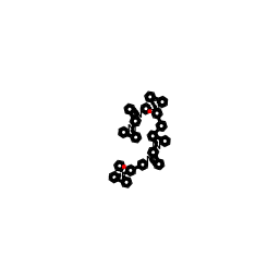 c1ccc([Si]2(c3ccc(-c4ccc(-n5c6ccccc6c6cc(-n7c8ccccc8c8c(-c9cccc(-c%10ccc([Si]%11(c%12ccc(-n%13c%14ccccc%14c%14cc(-n%15c%16ccccc%16c%16ccccc%16%15)ccc%14%13)cc%12)c%12ccccc%12-c%12ccccc%12%11)cc%10)c9)cccc87)ccc65)cc4)cc3)c3ccccc3-c3ccccc32)cc1